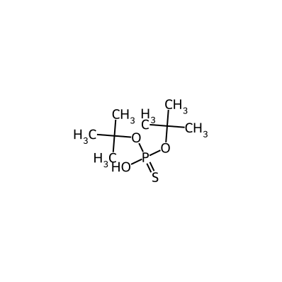 CC(C)(C)OP(O)(=S)OC(C)(C)C